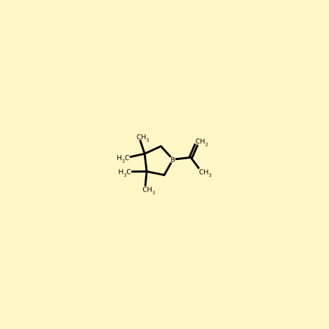 C=C(C)B1CC(C)(C)C(C)(C)C1